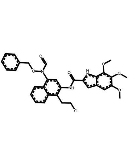 COc1cc2cc(C(=O)Nc3cc(N(C=O)OCc4ccccc4)c4ccccc4c3CCCl)[nH]c2c(OC)c1OC